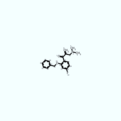 C=C(CN(C)C)C(=O)c1ccc(F)cc1OCc1ccccc1